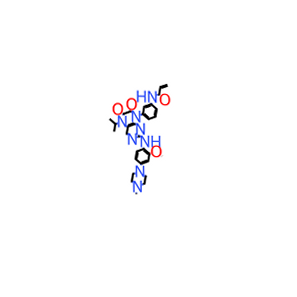 C=CC(=O)Nc1cccc(-n2c(=O)c(=O)n(C(C)C)c3cnc(Nc4ccc(N5CCN(C)CC5)cc4OC)nc32)c1